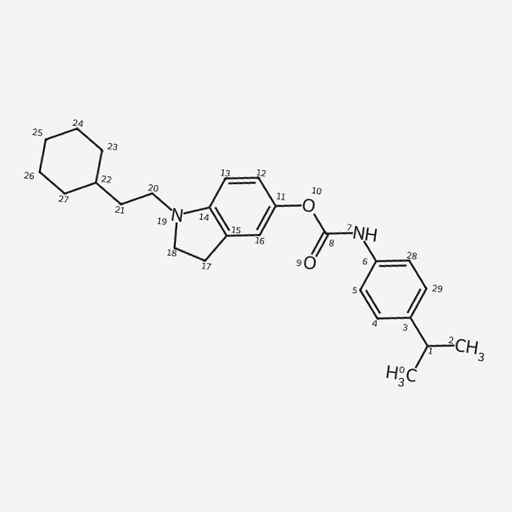 CC(C)c1ccc(NC(=O)Oc2ccc3c(c2)CCN3CCC2CCCCC2)cc1